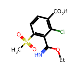 CCOC(=N)c1c(S(C)(=O)=O)ccc(C(=O)O)c1Cl